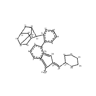 [Zr][C]1=c2cccc(-c3ccccc3C3C4CC5CC(C4)CC3C5)c2=CC1=CC1CCCCC1